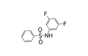 O=S(=O)(Nc1cc(F)cc(F)c1)c1ccccc1